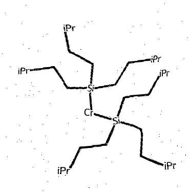 CC(C)CC[Si](CCC(C)C)(CCC(C)C)[Cr][Si](CCC(C)C)(CCC(C)C)CCC(C)C